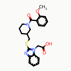 COc1ccccc1C(=O)N1CCCC(CSc2nc3ccccc3n2CC(=O)O)C1